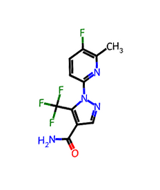 Cc1nc(-n2ncc(C(N)=O)c2C(F)(F)F)ccc1F